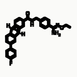 CCON=C(N)c1ccc(CNC(=O)c2ccc3c(c2)[C@@H]2O[C@H]3c3ccc(-c4ccc(F)cc4)cc32)cc1